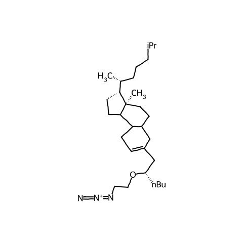 CCCC[C@@H](CC1=CCC2C(CC[C@@]3(C)C2CC[C@@H]3[C@H](C)CCCC(C)C)C1)OCCN=[N+]=[N-]